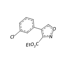 CCOC(=O)c1nocc1-c1cccc(Cl)c1